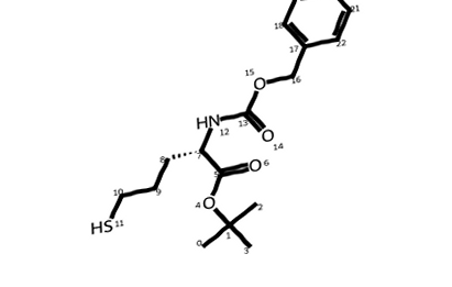 CC(C)(C)OC(=O)[C@H](CCCS)NC(=O)OCc1ccccc1